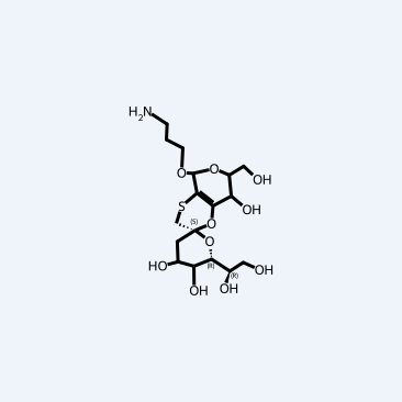 NCCCOC1OC(CO)C(O)C2=C1SC[C@]1(CC(O)C(O)[C@@H]([C@H](O)CO)O1)O2